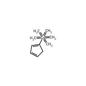 [CH2]=[Gd](=[CH2])(=[CH2])(=[CH2])(=[CH2])[C]1=CC=CC1